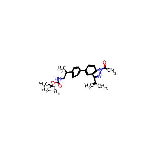 C=C(C)c1nn(C(C)=O)c2ccc(-c3ccc(C(C)CNC(=O)OC(C)(C)C)cc3)cc12